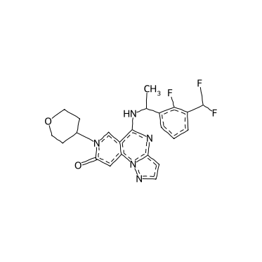 CC(Nc1nc2ccnn2c2cc(=O)n(C3CCOCC3)cc12)c1cccc(C(F)F)c1F